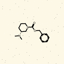 CN(C)[C@@H]1CCCN(C(=O)OCc2ccccc2)C1